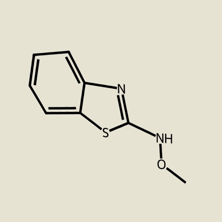 CONc1nc2ccccc2s1